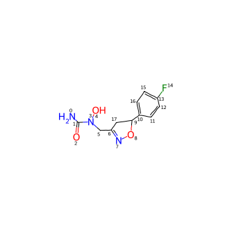 NC(=O)N(O)CC1=NOC(c2ccc(F)cc2)C1